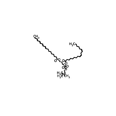 CC/C=C/C=C/C=C/C=C/CCCCCCCC(=O)OC[C@H](COP(=O)([O-])OCC[N+](C)(C)C)OC(=O)CCCCCCC/C=C\C/C=C\CCCCC